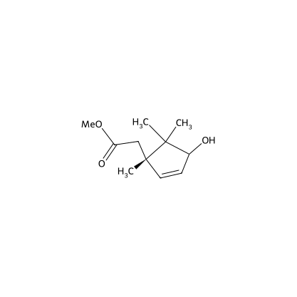 COC(=O)C[C@@]1(C)C=CC(O)C1(C)C